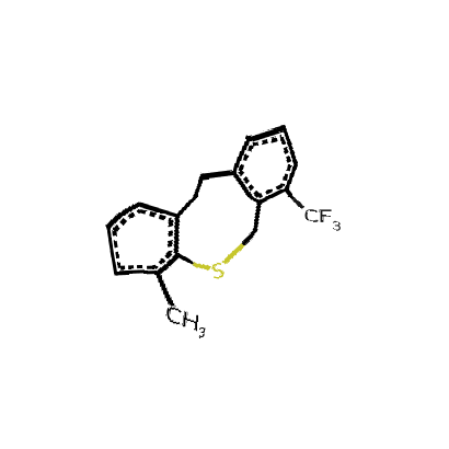 Cc1cccc2c1SCc1c(cccc1C(F)(F)F)C2